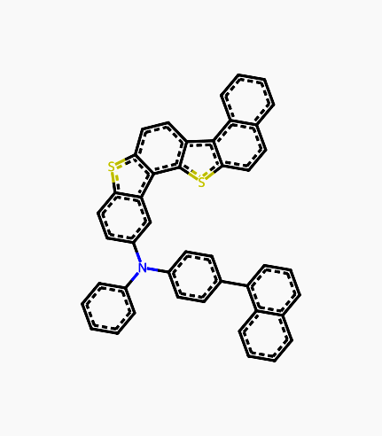 c1ccc(N(c2ccc(-c3cccc4ccccc34)cc2)c2ccc3sc4ccc5c(sc6ccc7ccccc7c65)c4c3c2)cc1